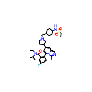 CCN(C(=O)c1cc(F)ccc1-c1cc(C2CCN(CC3CCC(NS(=O)(=O)CC)CC3)C2)cc2cnc(C)n12)C(C)C